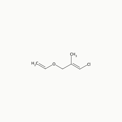 C=COC/C(C)=C/Cl